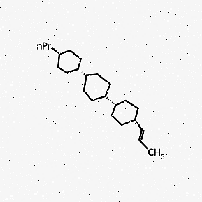 C/C=C/[C@H]1CC[C@H](C2CCC([C@H]3CC[C@H](CCC)CC3)CC2)CC1